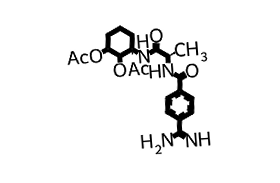 CC(=O)OC1CCC[C](NC(=O)[C@H](C)NC(=O)c2ccc(C(=N)N)cc2)C1OC(C)=O